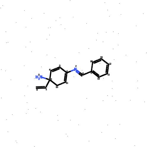 C=CC1(N)C=CC(N=Cc2ccccc2)=CC1